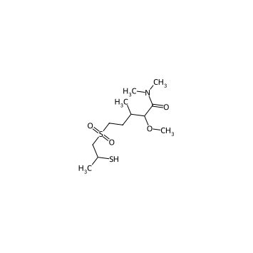 COC(C(=O)N(C)C)C(C)CCS(=O)(=O)CC(C)S